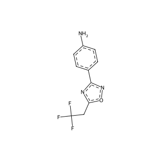 Nc1ccc(-c2noc(CC(F)(F)F)n2)cc1